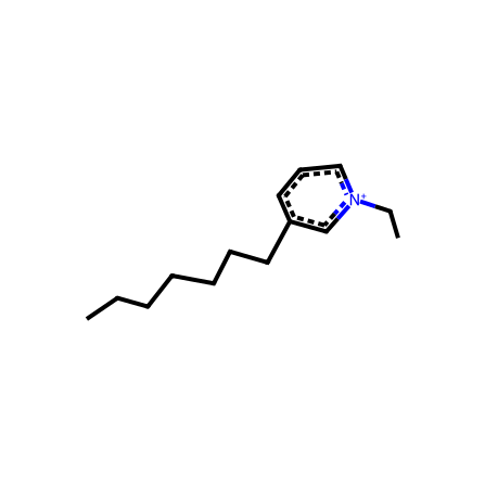 CCCCCCCc1ccc[n+](CC)c1